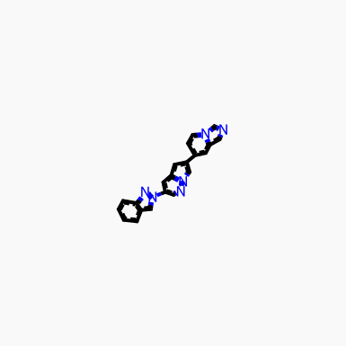 c1ccc2nn(-c3cnn4cc(-c5ccn6cncc6c5)cc4c3)cc2c1